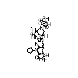 [2H]C([2H])([2H])c1cc2cnc(NC3C([2H])([2H])CN(S(=O)(=O)C([2H])([2H])[2H])CC3([2H])[2H])nc2n(C2CCCC2)c1=O